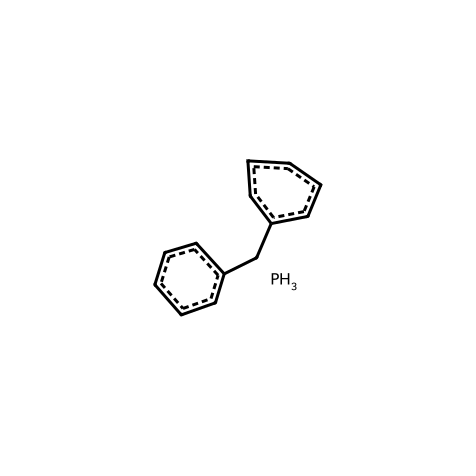 P.c1ccc(Cc2ccccc2)cc1